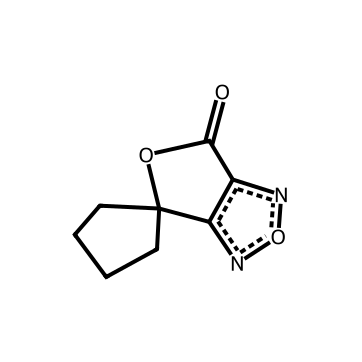 O=C1OC2(CCCC2)c2nonc21